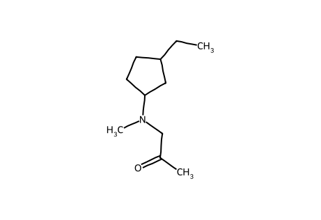 CCC1CCC(N(C)CC(C)=O)C1